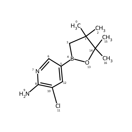 CC1(C)CB(c2cnc(N)c(Cl)c2)OC1(C)C